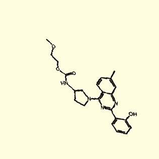 COCCOC(=O)NC1CCN(c2nc(-c3ccccc3O)nc3cc(C)ccc23)C1